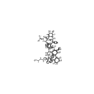 CCCCOC(=O)NS(=O)(=O)c1ccccc1-c1ccc(Cn2c(CCC)nc(CC)c2C(=O)OCc2ccccc2OCCC(C)C)c(F)c1